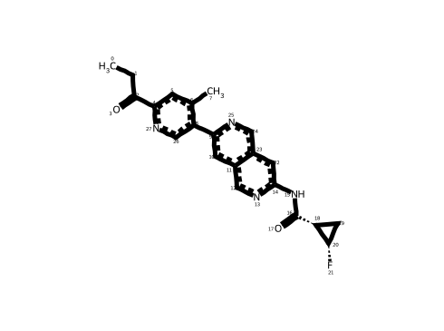 CCC(=O)c1cc(C)c(-c2cc3cnc(NC(=O)[C@@H]4C[C@@H]4F)cc3cn2)cn1